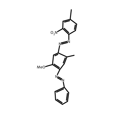 COc1cc(N=Nc2ccc(C)cc2[N+](=O)[O-])c(C)cc1N=Nc1ccccc1